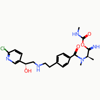 CNC(=O)OC(=N)[C@@H](C)N(C)C(=O)c1ccc(CCNC[C@H](O)c2ccc(Cl)nc2)cc1